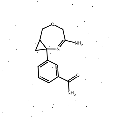 NC(=O)c1cccc(C23CC2COCC(N)=N3)c1